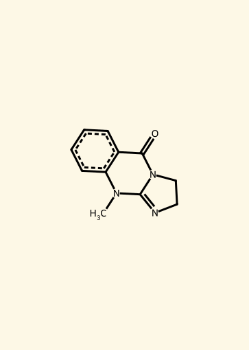 CN1C2=NCCN2C(=O)c2ccccc21